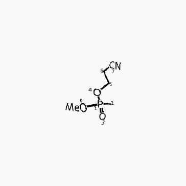 COP(C)(=O)OCCC#N